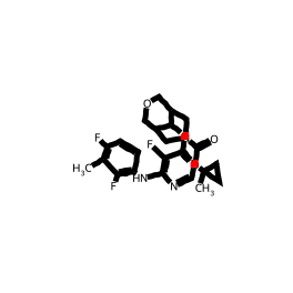 Cc1c(F)ccc(Nc2ncnc(OC3C4COCC3CN(C(=O)OC3(C)CC3)C4)c2F)c1F